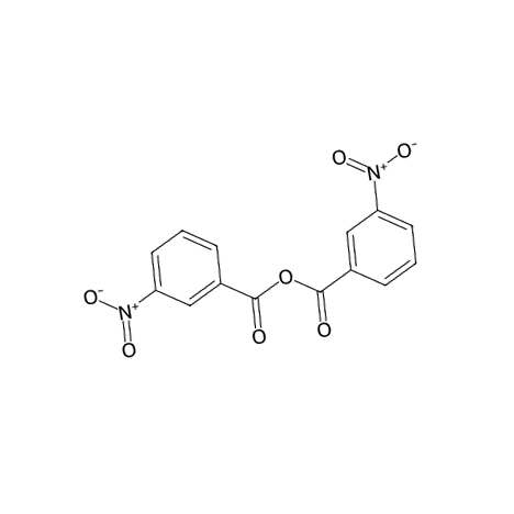 O=C(OC(=O)c1cccc([N+](=O)[O-])c1)c1cccc([N+](=O)[O-])c1